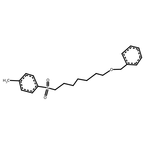 Cc1ccc(S(=O)(=O)CCCCCCCOCc2ccccc2)cc1